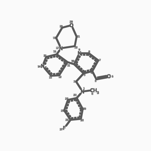 CN(Cc1c(C=O)ccnc1-c1ccncc1N1CCOCC1)c1ccc(F)cc1